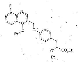 CCOC(=O)C(Cc1ccc(OCc2cnc3c(F)cccc3c2OC(C)C)cc1)OCC